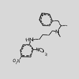 CC(Cc1ccccc1)N(C)CCCCNc1ccc([N+](=O)[O-])cc1[N+](=O)[O-]